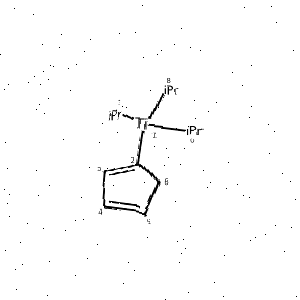 C[CH](C)[Ti]([C]1=CC=CC1)([CH](C)C)[CH](C)C